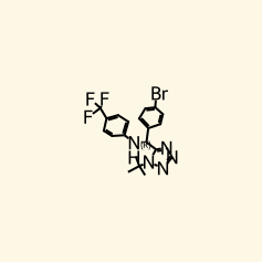 CC(C)(C)n1nnnc1[C@H](Nc1ccc(C(F)(F)F)cc1)c1ccc(Br)cc1